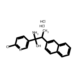 CC(c1ccc2ccccc2c1)C(N)(O)c1ccc(Cl)nc1.Cl.Cl